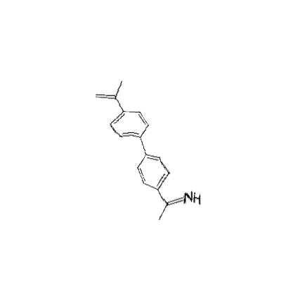 C=C(C)c1ccc(-c2ccc(C(C)=N)cc2)cc1